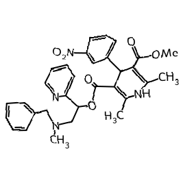 COC(=O)C1=C(C)NC(C)=C(C(=O)OC(CN(C)Cc2ccccc2)c2ccccn2)C1c1cccc([N+](=O)[O-])c1